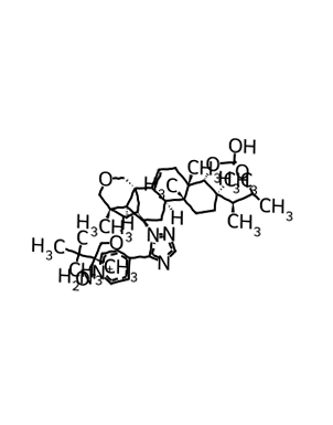 CC(C)[C@@H](C)[C@@]1(C)CC[C@]2(C)[C@H]3CC[C@@H]4[C@@]5(COC[C@@]4(C)[C@@H](OC[C@](C)(N)C(C)(C)C)[C@H](n4ncnc4-c4cc[n+]([O-])cc4)C5)C3=CC[C@]2(C)[C@@H]1OC(=O)O